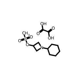 CS(=O)(=O)OC1CN(C2CCCCC2)C1.O=C(O)C(=O)O